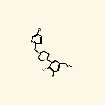 CC(C)Cc1cc(F)c(C#N)c(N2CCN(Cc3ccc(Cl)cn3)CC2)c1